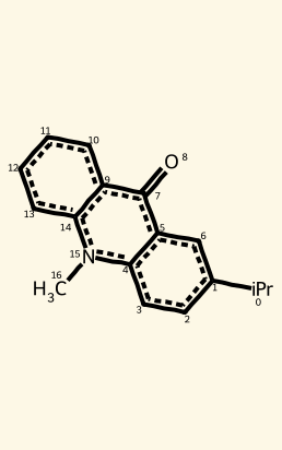 CC(C)c1ccc2c(c1)c(=O)c1ccccc1n2C